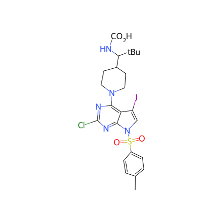 Cc1ccc(S(=O)(=O)n2cc(I)c3c(N4CCC(C(NC(=O)O)C(C)(C)C)CC4)nc(Cl)nc32)cc1